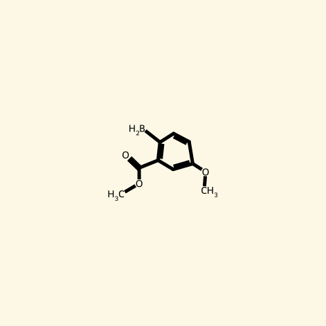 Bc1ccc(OC)cc1C(=O)OC